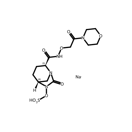 O=C(NOCC(=O)N1CCOCC1)[C@@H]1CC[C@@H]2CN1C(=O)N2OS(=O)(=O)O.[Na]